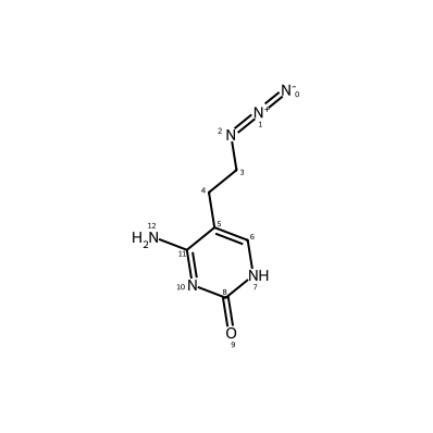 [N-]=[N+]=NCCc1c[nH]c(=O)nc1N